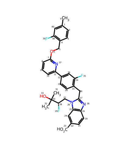 Cc1ccc(COc2cccc(-c3ccc(Cc4nc5ccc(C(=O)O)cc5n4C[C@@H](F)C(C)(C)O)c(F)c3)n2)c(F)c1